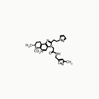 Cc1cc(CNC(=O)Cn2c(CCn3cccn3)nc3c4c(ccc32)N(C(=O)O)[C@@H](C)CC4)on1